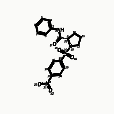 O=C(Nc1ccccc1)[C@@H]1CCCN1S(=O)(=O)c1ccc([N+](=O)[O-])cc1